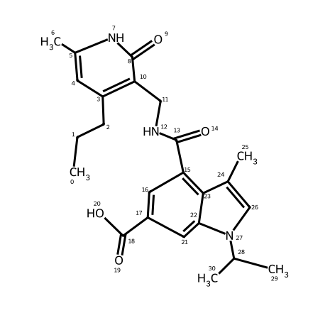 CCCc1cc(C)[nH]c(=O)c1CNC(=O)c1cc(C(=O)O)cc2c1c(C)cn2C(C)C